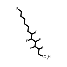 O=S(=O)(O)CC(F)C(F)C(F)C(F)C(F)CCCCCCF